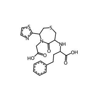 O=C(O)CN1C(=O)C(NC(CCc2ccccc2)C(=O)O)CSCC1c1nccs1